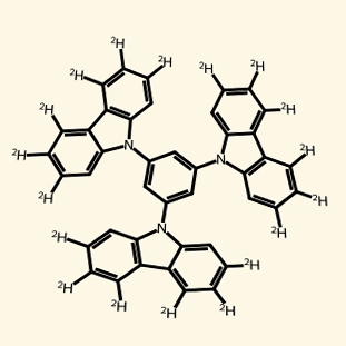 [2H]c1cc2c(c([2H])c1[2H])c1c([2H])c([2H])c([2H])cc1n2-c1cc(-n2c3cc([2H])c([2H])c([2H])c3c3c([2H])c([2H])c([2H])cc32)cc(-n2c3cc([2H])c([2H])c([2H])c3c3c([2H])c([2H])c([2H])cc32)c1